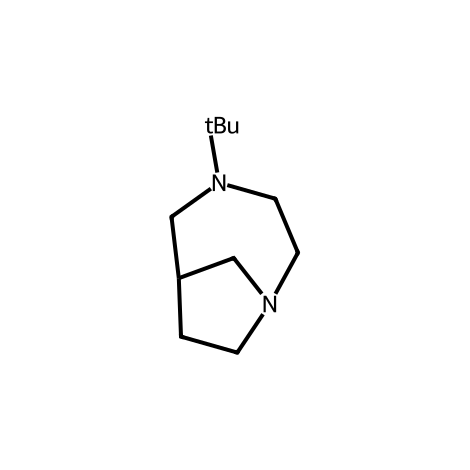 CC(C)(C)N1CCN2CCC(C2)C1